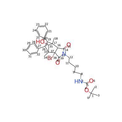 CC(C)(C)OC(=O)NCCCCCN1C(=O)C2C3(C)C(c4ccccc4)=C(c4ccccc4)C(C)(C3O)C2(Br)C1=O